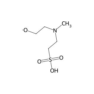 CN(CC[O])CCS(=O)(=O)O